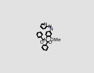 COc1cc(/N=N\c2ccccn2)ccc1N(C(=O)c1ccccc1)C(=O)c1ccccc1